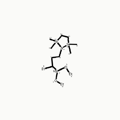 CCO[SiH](OCC)C(CC)CCN1[Si](C)(C)CC[Si]1(C)C